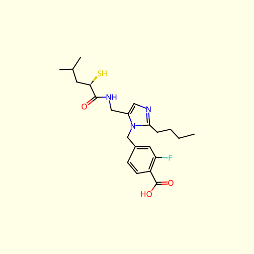 CCCCc1ncc(CNC(=O)[C@H](S)CC(C)C)n1Cc1ccc(C(=O)O)c(F)c1